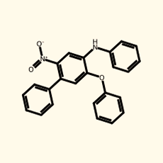 O=[N+]([O-])c1cc(Nc2ccccc2)c(Oc2ccccc2)cc1-c1ccccc1